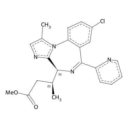 COC(=O)C[C@H](C)[C@@H]1N=C(c2ccccn2)c2cc(Cl)ccc2-n2c(C)cnc21